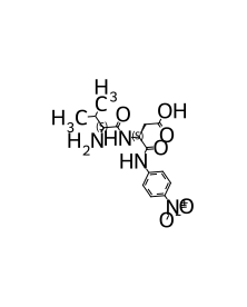 CC(C)[C@H](N)C(=O)N[C@@H](CC(=O)O)C(=O)Nc1ccc([N+](=O)[O-])cc1